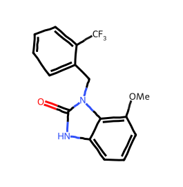 COc1cccc2[nH]c(=O)n(Cc3ccccc3C(F)(F)F)c12